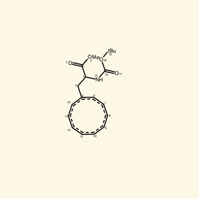 COC(=O)C(Cc1ccccccccc1)NC(=O)OC(C)(C)C